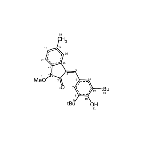 CON1C(=O)C(=Cc2cc(C(C)(C)C)c(O)c(C(C)(C)C)c2)c2cc(C)ccc21